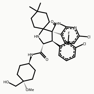 CO[C@]1(CO)CC[C@@H](NC(=O)[C@@H]2NC3(CCC(C)(C)CC3)[C@@]3(C(=O)Nc4nc(Cl)ccc43)[C@H]2c2cccc(Cl)c2F)CC1